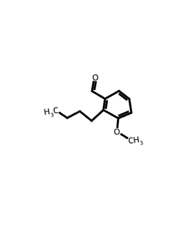 CCCCc1c(C=O)cccc1OC